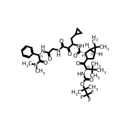 CN(C)C(=O)[C@@H](NC(=O)CNC(=O)C(=O)C(CC1CC1)NC(=O)[C@H]1C(C(=O)[C@@H](NC(=O)OC(C)(C)C(F)(F)F)C(C)(C)C)C[C@H]2[C@@H]1C2(C)C)c1ccccc1